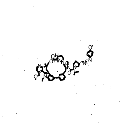 CCn1c(-c2cnccc2COC)c2c3cc(ccc31)-c1cccc(c1)C[C@H](NC(=O)[C@H](C(C)C)N1CC[C@H](CN=C=Nc3ccc(OC)cc3)C1)C(=O)N1CCC[C@H](N1)C(=O)OCC(C)(C)C2